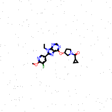 CCn1c(-c2cnc(OC)c(F)c2)nc2c(O[C@H]3CCN(C(=O)C4CC4)C3)ncnc21